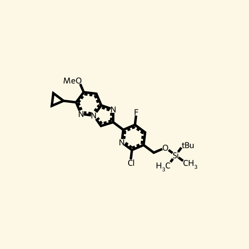 COc1cc2nc(-c3nc(Cl)c(CO[Si](C)(C)C(C)(C)C)cc3F)cn2nc1C1CC1